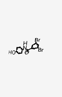 O=C(Nc1ccc(O)cc1)c1cc(Br)cc(Br)c1